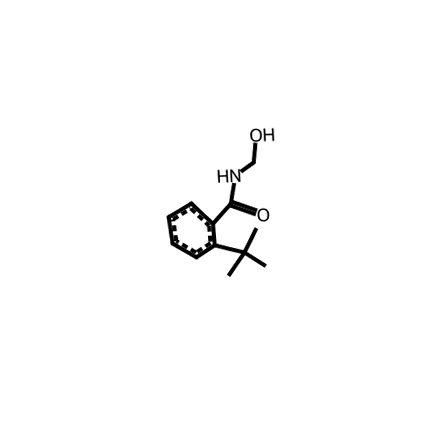 CC(C)(C)c1ccccc1C(=O)NCO